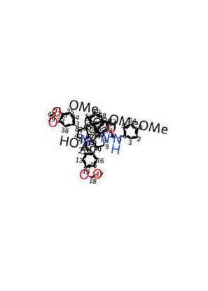 COc1ccc(NC(=O)N2C[C@H](c3ccc4c(c3)OCO4)[C@@](C(=O)O)([C@]3(c4ccc(OC)cc4)[C@@H](C(=O)O)[C@@H](c4ccc5c(c4)OCO5)CN3C(C)=O)[C@H]2c2ccc(OC)cc2)cc1